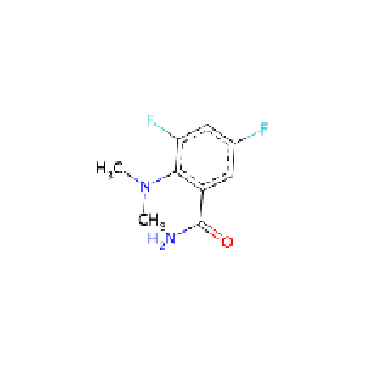 CN(C)c1c(F)cc(F)cc1C(N)=O